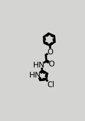 O=C(COc1ccccc1)Nc1cc(Cl)c[nH]1